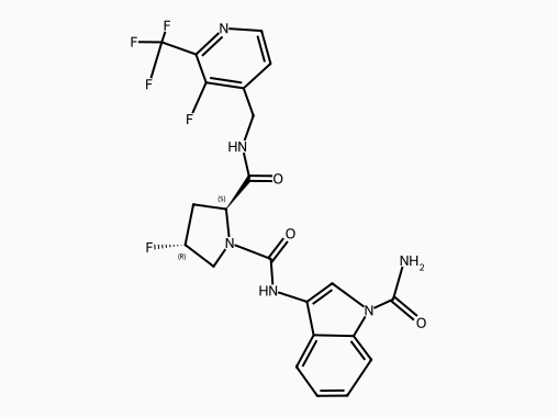 NC(=O)n1cc(NC(=O)N2C[C@H](F)C[C@H]2C(=O)NCc2ccnc(C(F)(F)F)c2F)c2ccccc21